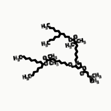 CCCCCCCCC(CCCCCC)OC(=O)C(C)(C)CCCCCCOCC1C[C@H](OC(=O)CCN(C)C)CN1CCCCCCC(C)(C)C(=O)OCCCC(CCCCC)CCCCC